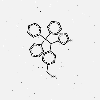 NCc1ccc(C(c2c[nH]cn2)C(c2ccccc2)(c2ccccc2)c2ccccc2)cc1